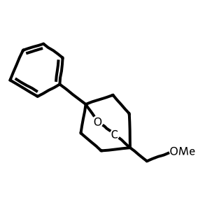 COCC12CCC(c3ccccc3)(CC1)OC2